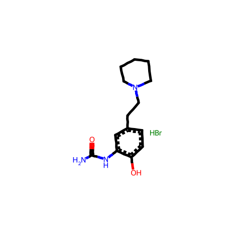 Br.NC(=O)Nc1cc(CCN2CCCCC2)ccc1O